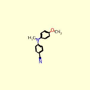 COc1ccc(N(C)c2ccc(C#N)cc2)cc1